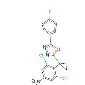 O=[N+]([O-])c1cc(Cl)c(C2(c3nnc(-c4ccc(F)cc4)o3)CC2)c(Cl)c1